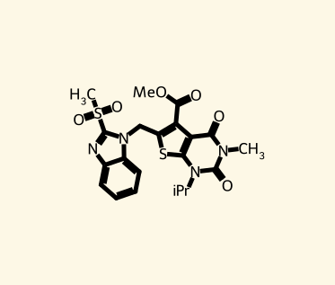 COC(=O)c1c(Cn2c(S(C)(=O)=O)nc3ccccc32)sc2c1c(=O)n(C)c(=O)n2C(C)C